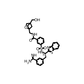 N=C(N)c1cccc(C[C@@H](NS(=O)(=O)c2cccc(C(=O)NCC34CC(CO)(CO3)C4)c2)c2nc3ccccc3s2)c1